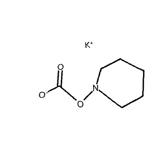 O=C([O-])ON1CCCCC1.[K+]